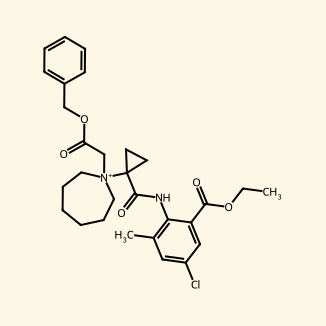 CCOC(=O)c1cc(Cl)cc(C)c1NC(=O)C1([N+]2(CC(=O)OCc3ccccc3)CCCCCC2)CC1